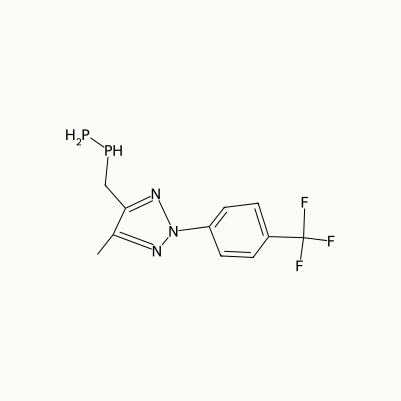 Cc1nn(-c2ccc(C(F)(F)F)cc2)nc1CPP